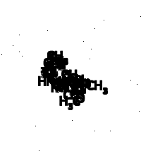 COc1cc(OC)c(Cl)c(NC(=O)N(C)c2cc(Nc3ccc(OC(C)n4cccc4)cc3)ncn2)c1Cl